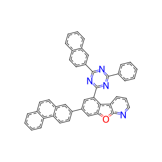 c1ccc(-c2nc(-c3ccc4ccccc4c3)nc(-c3cc(-c4ccc5c(ccc6ccccc65)c4)cc4oc5ncccc5c34)n2)cc1